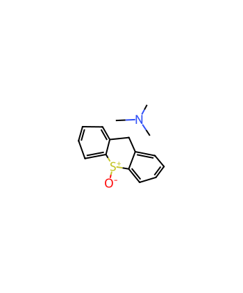 CN(C)C.[O-][S+]1c2ccccc2Cc2ccccc21